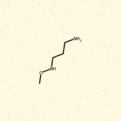 CONCCCN